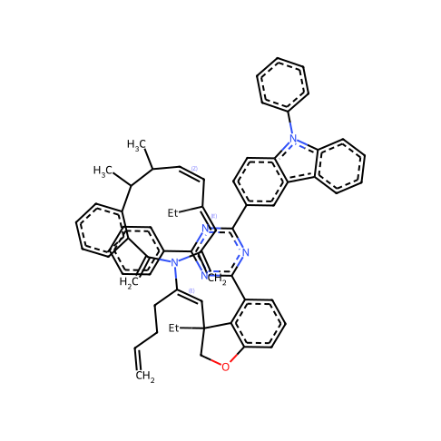 C=CCC/C(=C\C1(CC)COc2cccc(-c3nc(-c4ccccc4)nc(-c4ccc5c(c4)c4ccccc4n5-c4ccccc4)n3)c21)N1C(=C)/C=C(CC)/C=C\C(C)C(C)c2ccccc2C1=C